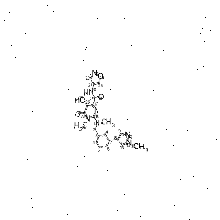 CN(Cc1cccc(-c2cnn(C)c2)c1)c1nc(C(=O)Nc2cnoc2)c(O)c(=O)n1C